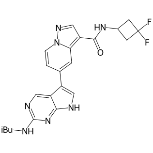 CCC(C)Nc1ncc2c(-c3ccn4ncc(C(=O)NC5CC(F)(F)C5)c4c3)c[nH]c2n1